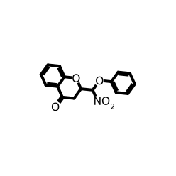 O=C1CC(C(Oc2ccccc2)[N+](=O)[O-])Oc2ccccc21